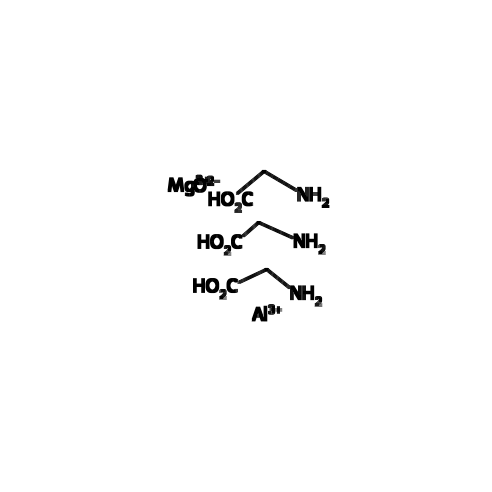 NCC(=O)O.NCC(=O)O.NCC(=O)O.[Al+3].[Mg+2].[O-2]